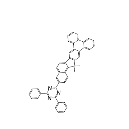 CC1(C)c2cc3c4ccccc4c4ccccc4c3cc2-c2ccc3cc(-c4nc(-c5ccccc5)nc(-c5ccccc5)n4)ccc3c21